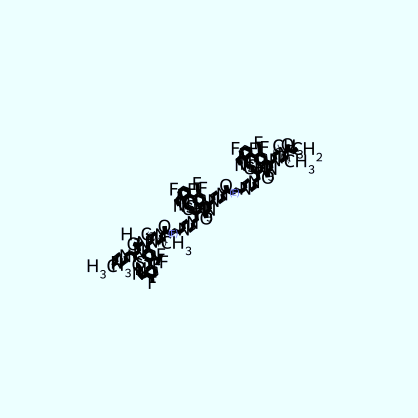 C=CC(=O)N1[C@H](C)CN(c2nc(=O)n3c4c(c(-c5ccc(F)c6cnn(C)c56)c(C(F)(F)F)cc24)SCC3CN2CCN(C/C=C/C(=O)N3CCN(c4nc(=O)n5c6c(c(-c7ccc(F)c8cnn(C)c78)c(C(F)(F)F)cc46)SCC5CN4CCN(C/C=C/C(=O)N5C[C@H](C)N(c6nc(=O)n7c8c(c(-c9ccc(F)c%10cnn(C)c9%10)c(C(F)(F)F)cc68)SCC7CN6CCN(C)CC6)C[C@H]5C)CC4)CC3)CC2)C[C@@H]1C